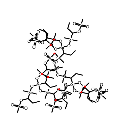 CCC(OS(C)(=O)=O)[Si](C)(C)O[Si](O[Si](C)(C)C(CC)OS(C)(=O)=O)(O[Si](C)(C)C(CC)OS(C)(=O)=O)C(CC)[Si](C)(C)O[Si](C)(O[Si](C)(C)C(CC)[Si](O[Si](C)(C)C(CC)OS(C)(=O)=O)(O[Si](C)(C)C(CC)OS(C)(=O)=O)O[Si](C)(C)C(CC)OS(C)(=O)=O)O[Si](C)(C)C(CC)[Si](O[Si](C)(C)C(CC)OS(C)(=O)=O)(O[Si](C)(C)C(CC)OS(C)(=O)=O)O[Si](C)(C)C(CC)OS(C)(=O)=O